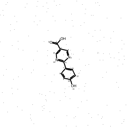 O=C(O)c1cnc(-c2ccc(O)cc2)nc1